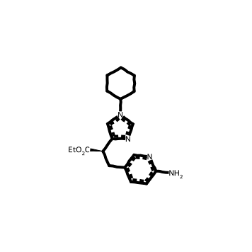 CCOC(=O)[C@H](Cc1ccc(N)nc1)c1cn(C2CCCCC2)cn1